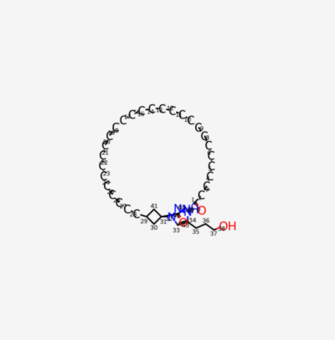 O=C1CCCCCCCCCCCCCCCCCCCCCCCCCCCC2CC(n3cc(CCCO)nn3)(C2)C(=O)N1